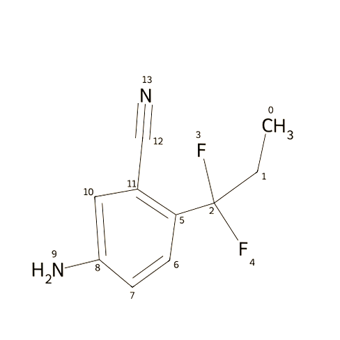 CCC(F)(F)c1ccc(N)cc1C#N